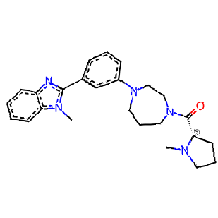 CN1CCC[C@H]1C(=O)N1CCCN(c2cccc(-c3nc4ccccc4n3C)c2)CC1